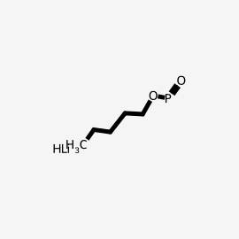 CCCCCOP=O.[LiH]